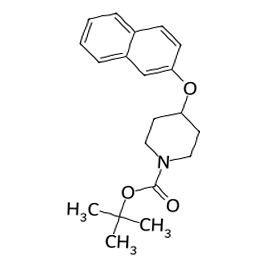 CC(C)(C)OC(=O)N1CCC(Oc2ccc3ccccc3c2)CC1